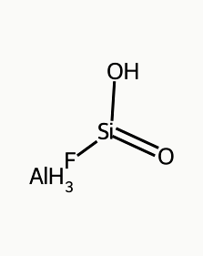 O=[Si](O)F.[AlH3]